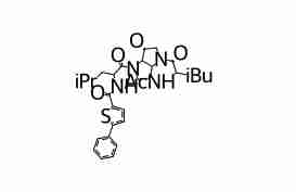 CCC(C)C(NC(C)=O)C(=O)N1CC(=O)C2C1CCN2C(=O)C(CC(C)C)NC(=O)c1ccc(-c2ccccc2)s1